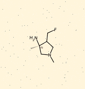 CN1CC(CF)[C@](C)(N)C1